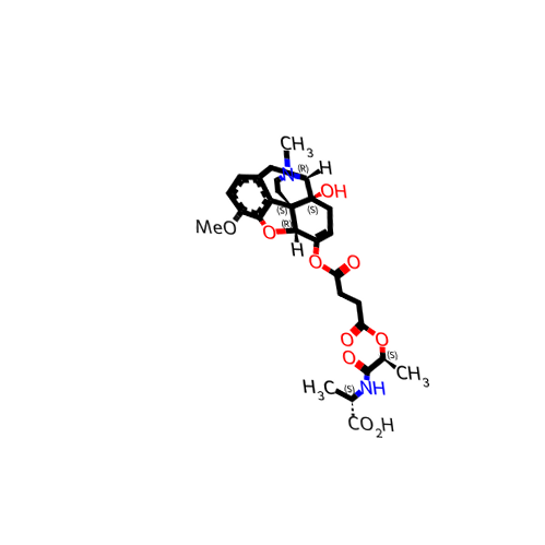 COc1ccc2c3c1O[C@H]1C(OC(=O)CCC(=O)O[C@@H](C)C(=O)N[C@@H](C)C(=O)O)=CC[C@@]4(O)[C@@H](C2)N(C)CC[C@]314